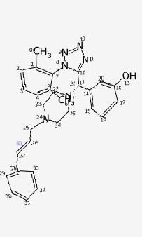 Cc1cccc(C)c1-n1nnnc1[C@H](c1cccc(O)c1)N1CCN(C/C=C/c2ccccc2)CC1